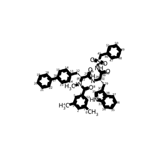 Cc1cc(C)cc(C(=O)N(C)[C@H](Cc2ccc(-c3ccccc3)cc2)C(=O)N[C@@H](Cc2c[nH]c3ccccc23)C(=O)NS(=O)(=O)Cc2ccccc2)c1